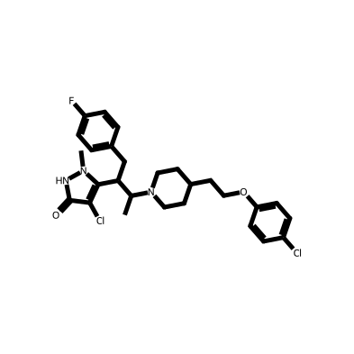 CC(C(Cc1ccc(F)cc1)c1c(Cl)c(=O)[nH]n1C)N1CCC(CCOc2ccc(Cl)cc2)CC1